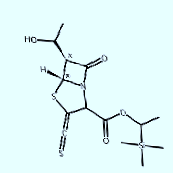 CC(O)[C@H]1C(=O)N2C(C(=O)OC(C)[Si](C)(C)C)C(=C=S)S[C@H]12